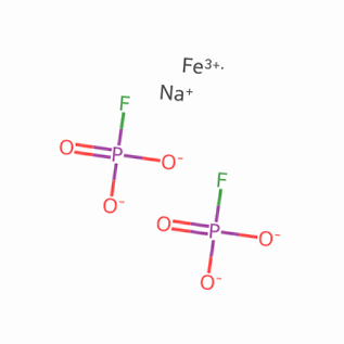 O=P([O-])([O-])F.O=P([O-])([O-])F.[Fe+3].[Na+]